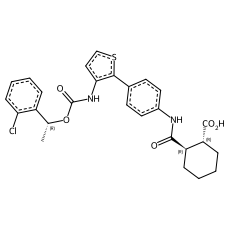 C[C@@H](OC(=O)Nc1ccsc1-c1ccc(NC(=O)[C@@H]2CCCC[C@H]2C(=O)O)cc1)c1ccccc1Cl